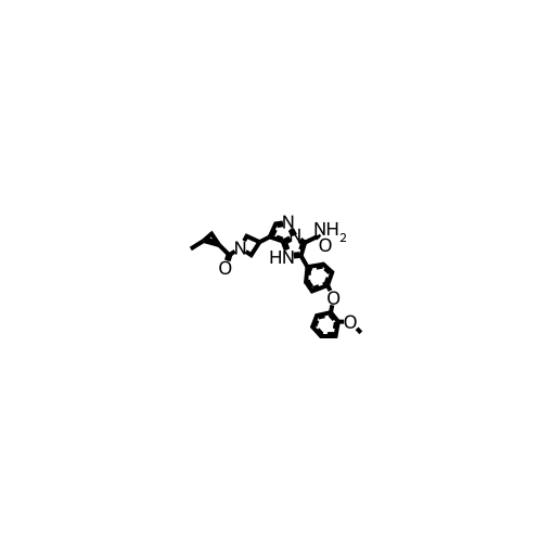 COc1ccccc1Oc1ccc(-c2[nH]c3c(C4CN(C(=O)C5=C(C)C5)C4)cnn3c2C(N)=O)cc1